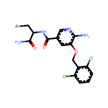 CC(C)CC(NC(=O)c1cnc(N)c(OCc2c(Cl)cccc2Cl)c1)C(N)=O